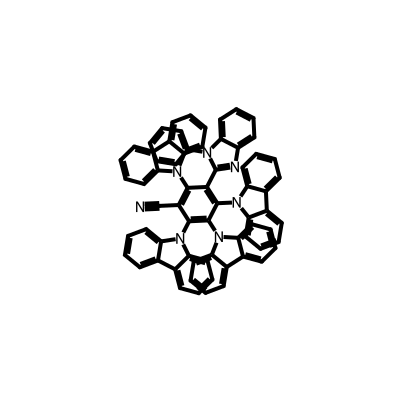 N#Cc1c(-n2c3ccccc3c3ccccc32)c(-c2nc3ccccc3n2-c2ccccc2)c(-n2c3ccccc3c3ccccc32)c(-n2c3ccccc3c3ccccc32)c1-n1c2ccccc2c2ccccc21